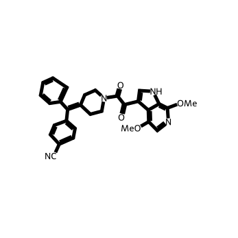 COc1ncc(OC)c2c(C(=O)C(=O)N3CCC(=C(c4ccccc4)c4ccc(C#N)cc4)CC3)c[nH]c12